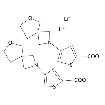 O=C([O-])c1cc(N2CC3(CCOC3)C2)cs1.O=C([O-])c1cc(N2CC3(CCOC3)C2)cs1.[Li+].[Li+]